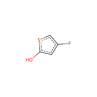 Oc1cc(F)cs1